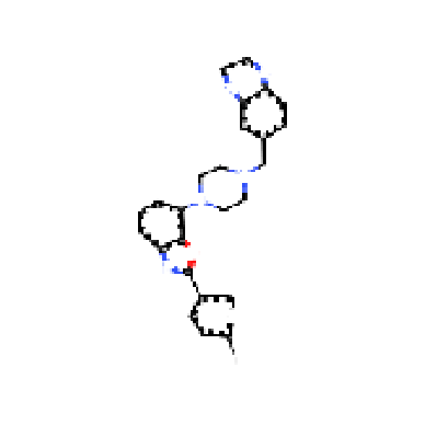 CC(C)(C)c1ccc(-c2nc3cccc(N4CCN(Cc5ccc6nccnc6c5)CC4)c3o2)cc1